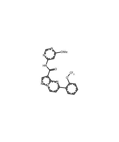 COc1cc(NC(=O)c2cnn3ccc(-c4ccccc4OC(F)(F)F)nc23)ncn1